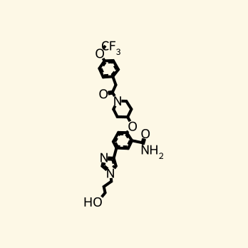 NC(=O)c1cc(-c2cn(CCCO)cn2)ccc1OC1CCN(C(=O)Cc2ccc(OC(F)(F)F)cc2)CC1